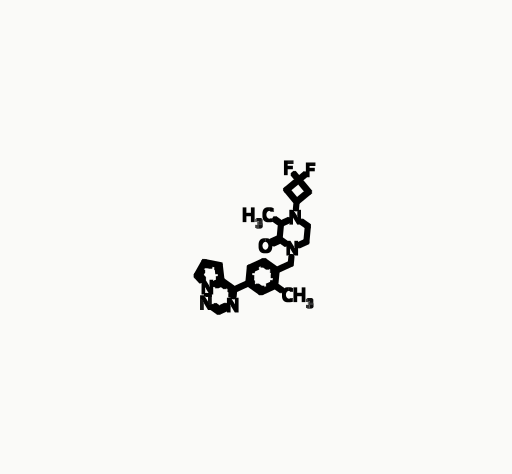 Cc1cc(-c2ncnn3cccc23)ccc1CN1CCN(C2CC(F)(F)C2)C(C)C1=O